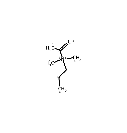 [CH2]CC[N+](C)(C)C(C)=O